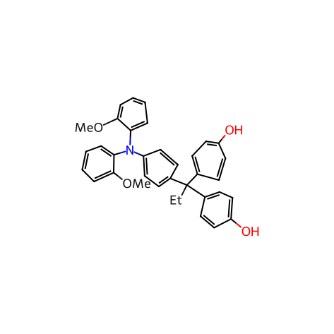 CCC(c1ccc(O)cc1)(c1ccc(O)cc1)c1ccc(N(c2ccccc2OC)c2ccccc2OC)cc1